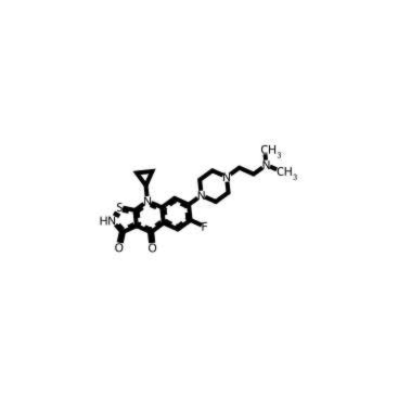 CN(C)CCN1CCN(c2cc3c(cc2F)c(=O)c2c(=O)[nH]sc2n3C2CC2)CC1